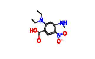 CCN(CC)c1cc(NC)c([N+](=O)[O-])cc1C(=O)O